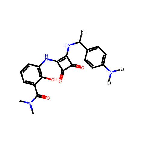 CCC(Nc1c(Nc2cccc(C(=O)N(C)C)c2O)c(=O)c1=O)c1ccc(N(CC)CC)cc1